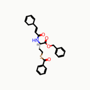 O=C(C=CC1C=CC=CC1)N[C@@H](CCSC(=O)c1ccccc1)C(=O)OCc1ccccc1